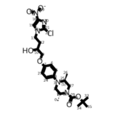 C[C@@H]1CN(c2ccc(OCC(O)CCn3cc([N+](=O)[O-])nc3Cl)cc2)[C@@H](C)CN1C(=O)OC(C)(C)C